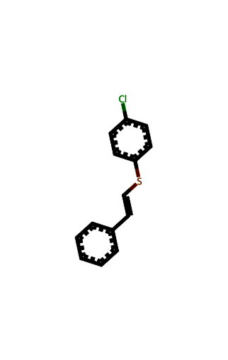 Clc1ccc(SC=Cc2ccccc2)cc1